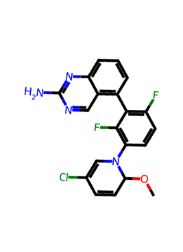 COC1C=CC(Cl)=CN1c1ccc(F)c(-c2cccc3nc(N)ncc23)c1F